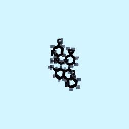 O=C(c1cc(F)ccc1-c1ncccn1)[C@@H]1CCC2(CC2)CN1CNc1ccc(Cl)cn1